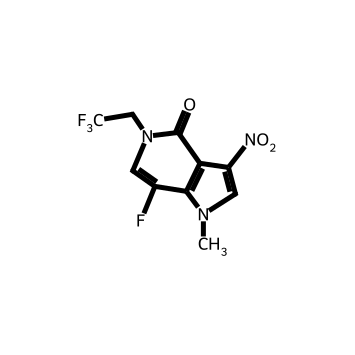 Cn1cc([N+](=O)[O-])c2c(=O)n(CC(F)(F)F)cc(F)c21